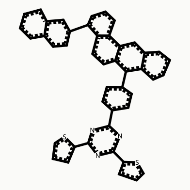 c1csc(-c2nc(-c3ccc(-c4c5ccccc5cc5c4ccc4c(-c6ccc7ccccc7c6)cccc45)cc3)nc(-c3cccs3)n2)c1